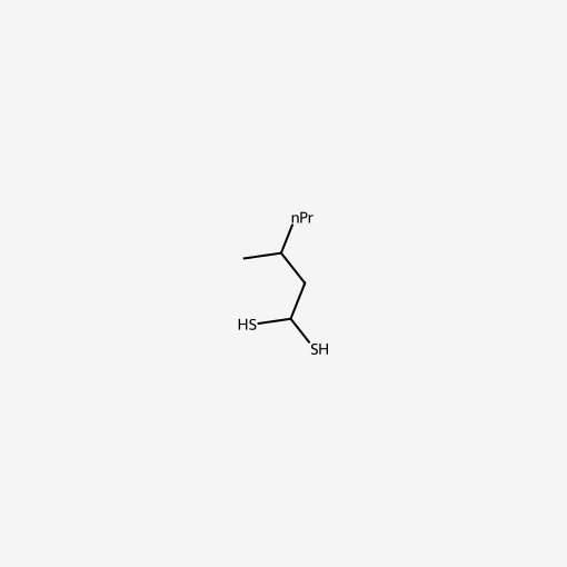 CCCC(C)CC(S)S